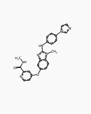 CNC(=O)c1cc(Oc2ccc3c(c2)nc(Nc2ccc(-n4ccnc4)cc2)n3C)ccn1